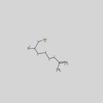 C=C(C)CCCCC(CC)CS